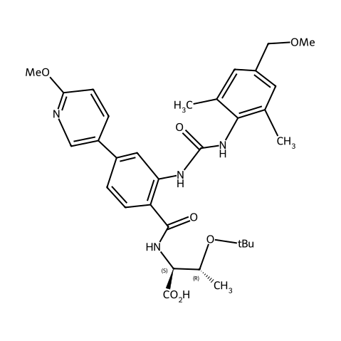 COCc1cc(C)c(NC(=O)Nc2cc(-c3ccc(OC)nc3)ccc2C(=O)N[C@H](C(=O)O)[C@@H](C)OC(C)(C)C)c(C)c1